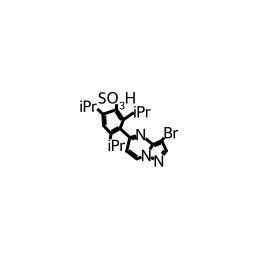 CC(C)c1cc(C(C)C)c(S(=O)(=O)O)c(C(C)C)c1-c1ccn2ncc(Br)c2n1